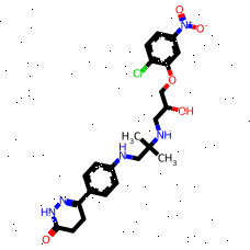 CC(C)(CNc1ccc(C2=NNC(=O)CC2)cc1)NCC(O)COc1cc([N+](=O)[O-])ccc1Cl